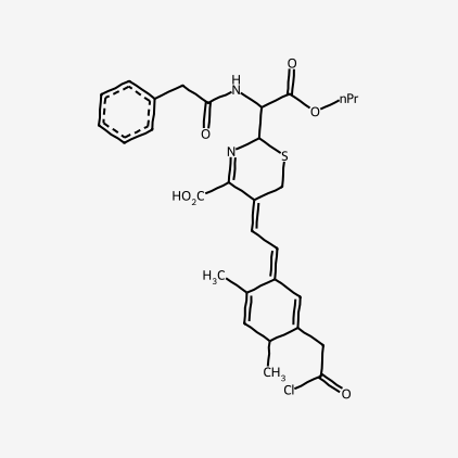 CCCOC(=O)C(NC(=O)Cc1ccccc1)C1N=C(C(=O)O)/C(=C/C=C2/C=C(CC(=O)Cl)C(C)C=C2C)CS1